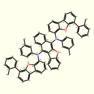 Cc1cccc(N(c2cccc3c2oc2c(-c4ccccc4C)cccc23)c2c3ccccc3c(N(c3cccc(C)c3)c3cccc4c3oc3c(-c5ccccc5C)cccc34)c3c2oc2ccccc23)c1